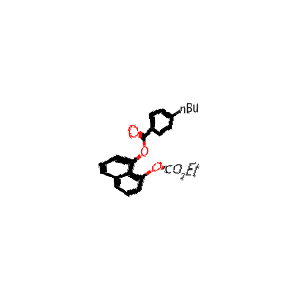 CCCCc1ccc(C(=O)Oc2cccc3cccc(OC(=O)OCC)c23)cc1